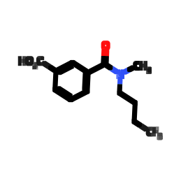 CN(CCCC(F)(F)F)C(=O)c1cccc(C(=O)O)c1